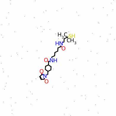 CC(C)(S)CCNC(=O)CCCCCNC(=O)C1CCC(CN2C(=O)C=CC2=O)CC1